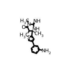 CC1C(=O)N(C)C(=N)N[C@]1(C)c1cc(-c2cccc(N)c2)cs1